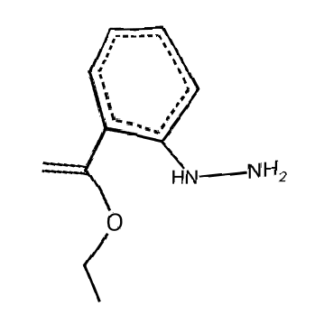 C=C(OCC)c1ccccc1NN